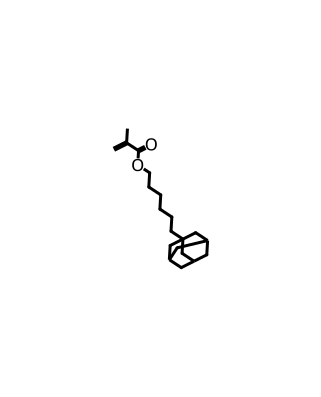 C=C(C)C(=O)OCCCCCCC12CC3CC(CC(C3)C1)C2